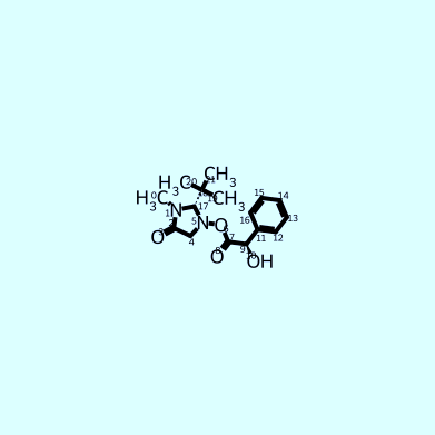 CN1C(=O)CN(OC(=O)[C@H](O)c2ccccc2)[C@H]1C(C)(C)C